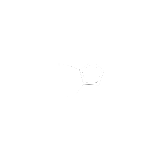 O=[C]c1ccoc1[C]=O